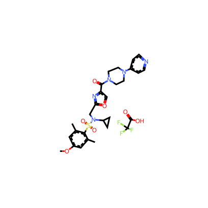 COc1cc(C)c(S(=O)(=O)N(Cc2nc(C(=O)N3CCN(c4ccncc4)CC3)co2)C2CC2)c(C)c1.O=C(O)C(F)(F)F